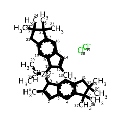 CC1=Cc2cc3c(cc2[CH]1[Zr+2]([CH]1C(C)=Cc2cc4c(cc21)CC(C)(C)C4(C)C)[SiH](C)C)CC(C)(C)C3(C)C.[Cl-].[Cl-]